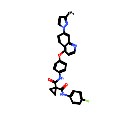 Cc1ccn(-c2ccc3c(Oc4ccc(NC(=O)C5(C(=O)Nc6ccc(F)cc6)CC5)cc4)ccnc3c2)n1